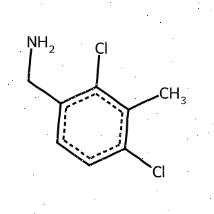 Cc1c(Cl)ccc(CN)c1Cl